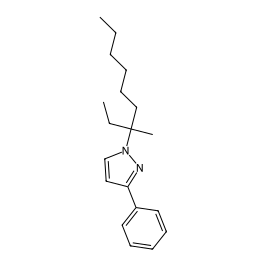 CCCCCCC(C)(CC)n1ccc(-c2ccccc2)n1